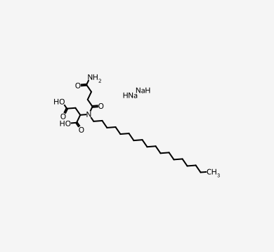 CCCCCCCCCCCCCCCCCCN(C(=O)CCC(N)=O)C(CC(=O)O)C(=O)O.[NaH].[NaH]